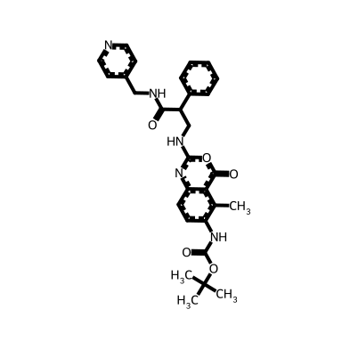 Cc1c(NC(=O)OC(C)(C)C)ccc2nc(NCC(C(=O)NCc3ccncc3)c3ccccc3)oc(=O)c12